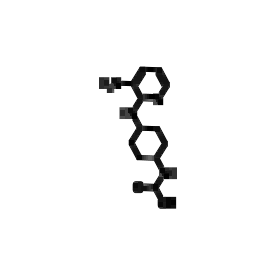 Nc1cccnc1NC1CCC(NC(=O)O)CC1